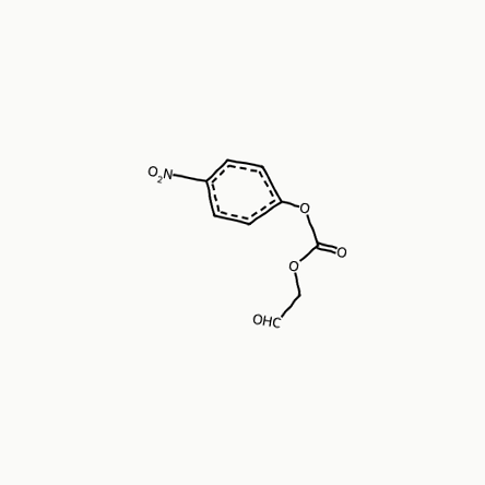 O=CCOC(=O)Oc1ccc([N+](=O)[O-])cc1